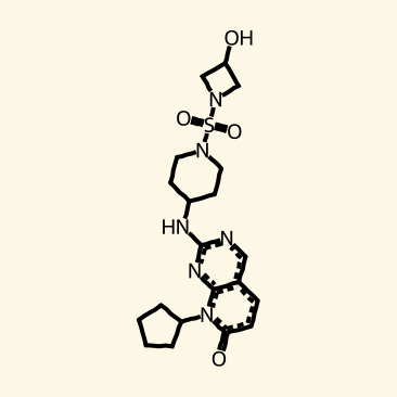 O=c1ccc2cnc(NC3CCN(S(=O)(=O)N4CC(O)C4)CC3)nc2n1C1CCCC1